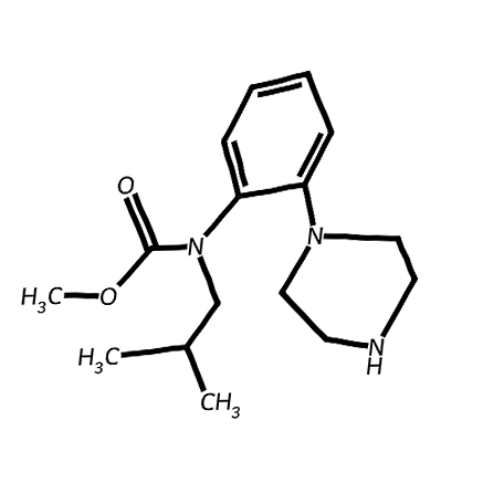 COC(=O)N(CC(C)C)c1ccccc1N1CCNCC1